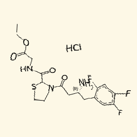 CCOC(=O)CNC(=O)C1SCCN1C(=O)C[C@H](N)Cc1cc(F)c(F)cc1F.Cl